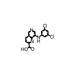 O=C(O)c1ccc2cncc(Nc3cc(Cl)cc(Cl)c3)c2n1